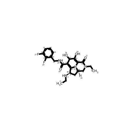 CCN[C@@H]1C[C@@H]2CN(CC)C(=O)C3=C(O)C(O)C(C(=O)NCc4cccc(F)c4F)=C1N32